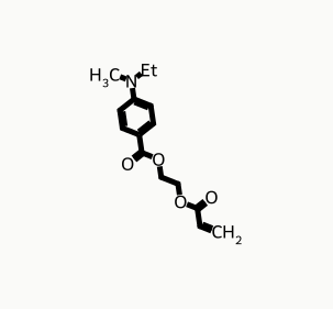 C=CC(=O)OCCOC(=O)c1ccc(N(C)CC)cc1